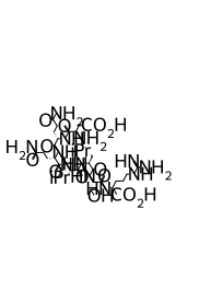 CC(C)C[C@H](NC(=O)[C@@H](NC(=O)[C@H](CCC(N)=O)NC(=O)[C@H](CCC(N)=O)NC(=O)[C@@H](N)CC(=O)O)C(C)C)C(=O)N[C@@H](CO)C(=O)N[C@@H](CCCNC(=N)N)C(=O)O